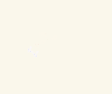 Cc1nnc(C2CCC(C3CCC(C)CC3)CC2S(=O)(=O)O)o1